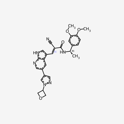 COc1ccc([C@@H](C)NC(=O)/C(C#N)=C/c2c[nH]c3ncc(-c4cnn(C5COC5)c4)cc23)cc1OC